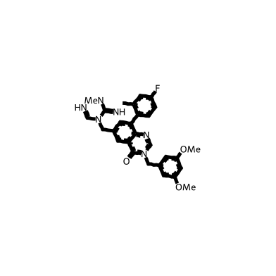 CNC(=N)N(C=N)Cc1cc(-c2ccc(F)cc2C)c2ncn(Cc3cc(OC)cc(OC)c3)c(=O)c2c1